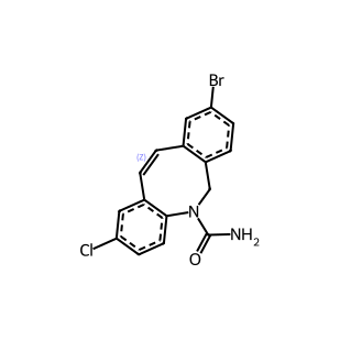 NC(=O)N1Cc2ccc(Br)cc2/C=C\c2cc(Cl)ccc21